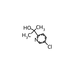 CC(C)(O)c1ccc(Cl)cn1